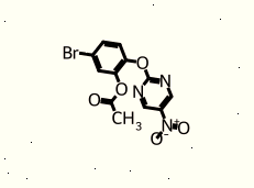 CC(=O)Oc1cc(Br)ccc1Oc1ncc([N+](=O)[O-])cn1